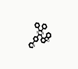 c1ccc(-c2nc(-c3ccc(-c4ccccn4)cc3)c(-c3cccc4oc5ccccc5c34)nc2-c2ccccc2)cc1